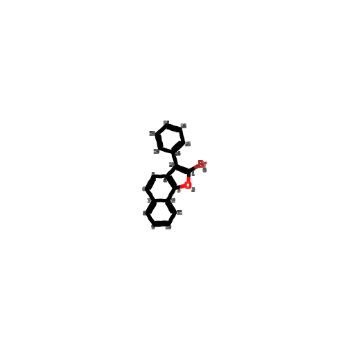 Brc1oc2c(ccc3ccccc32)c1-c1ccccc1